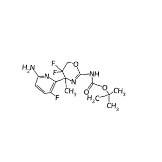 CC(C)(C)OC(=O)NC1=NC(C)(c2nc(N)ccc2F)C(F)(F)CO1